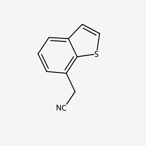 N#CCc1cccc2ccsc12